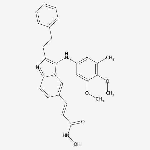 COc1cc(Nc2c(CCc3ccccc3)nc3ccc(/C=C/C(=O)NO)cn23)cc(C)c1OC